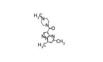 Cc1cc(C)n2ncc(C(=O)N3CCN(C)CC3)c2n1